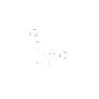 COc1ccc(CN([C@H]2C[C@@H](C)N(C(=O)O)[C@H]2COC2CC=C(c3cccc(F)c3)CC2)S(=O)(=O)N(C)C)cc1